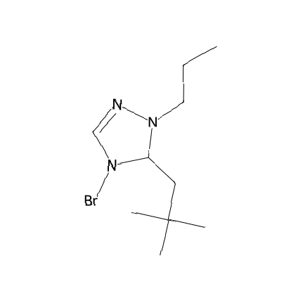 CCCN1N=CN(Br)C1CC(C)(C)C